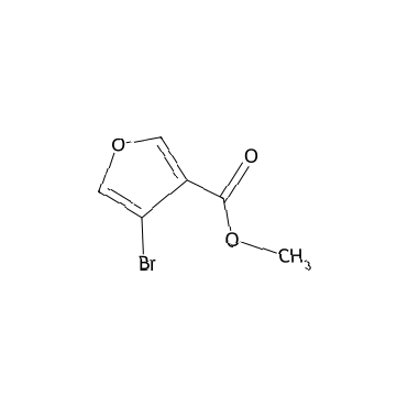 COC(=O)c1cocc1Br